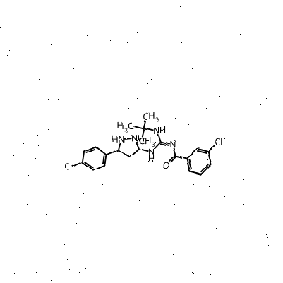 CC(C)(C)N/C(=N/C(=O)c1cccc(Cl)c1)NC1CC(c2ccc(Cl)cc2)NN1